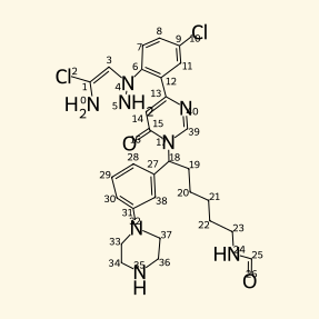 N/C(Cl)=C\N(N)c1ccc(Cl)cc1-c1cc(=O)n(C(CCCCCNC=O)c2cccc(N3CCNCC3)c2)cn1